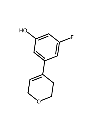 Oc1cc(F)cc(C2=CCOCC2)c1